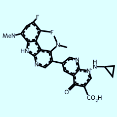 CNc1cc(F)c(F)c2c1[nH]c1ncc(-c3cnc4c(c3)c(=O)c(C(=O)O)cn4NC3CC3)c(N(C)C)c12